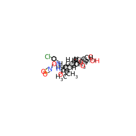 CC(C)C1=C2[C@H]3CC[C@@H]4[C@@]5(C)CC[C@H](OC(=O)[C@H]6C[C@@H](C(=O)O)C6(C)C)C(C)(C)[C@@H]5CC[C@@]4(C)[C@]3(C)CC[C@@]2(CCNCc2ccc(Cl)cc2OCCN2CCS(=O)(=O)CC2)CC1=O